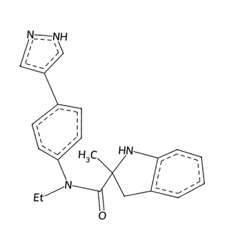 CCN(C(=O)C1(C)Cc2ccccc2N1)c1ccc(-c2cn[nH]c2)cc1